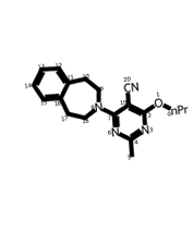 CCCOc1nc(C)nc(N2CCc3ccccc3CC2)c1C#N